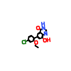 CCOc1cc(Cl)ccc1-c1cc(O)c2nc[nH]c(=O)c2c1